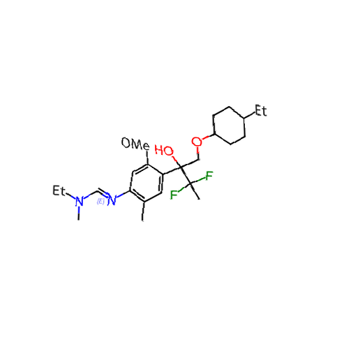 CCC1CCC(OCC(O)(c2cc(C)c(/N=C/N(C)CC)cc2OC)C(C)(F)F)CC1